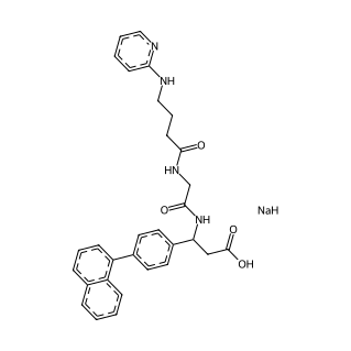 O=C(O)CC(NC(=O)CNC(=O)CCCNc1ccccn1)c1ccc(-c2cccc3ccccc23)cc1.[NaH]